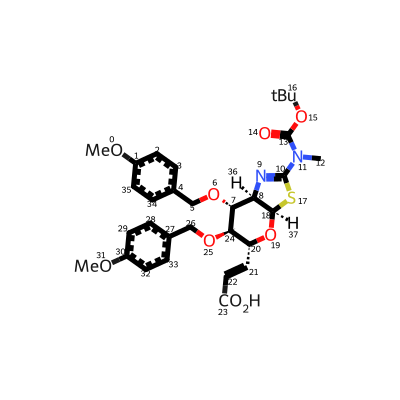 COc1ccc(CO[C@@H]2[C@H]3N=C(N(C)C(=O)OC(C)(C)C)S[C@H]3O[C@H](/C=C/C(=O)O)[C@H]2OCc2ccc(OC)cc2)cc1